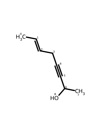 CC=CCC#CC(C)O